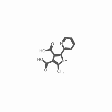 Cc1[nH]c(-c2ccccn2)c(C(=O)O)c1C(=O)O